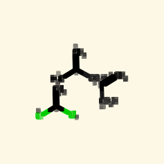 C=C(C)C(=O)O.C=C(Cl)Cl.C=CC(=O)O